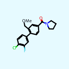 COCc1cc(C(=O)N2CCCC2)ccc1-c1ccc(Cl)c(F)c1